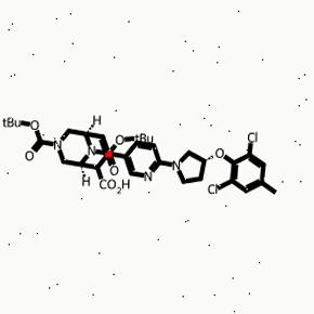 Cc1cc(Cl)c(O[C@@H]2CCN(c3ccc(C4=C[C@@H]5CN(C(=O)OC(C)(C)C)C[C@H](C4C(=O)O)N5C(=O)OC(C)(C)C)cn3)C2)c(Cl)c1